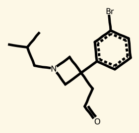 C[C](C)CN1CC(CC=O)(c2cccc(Br)c2)C1